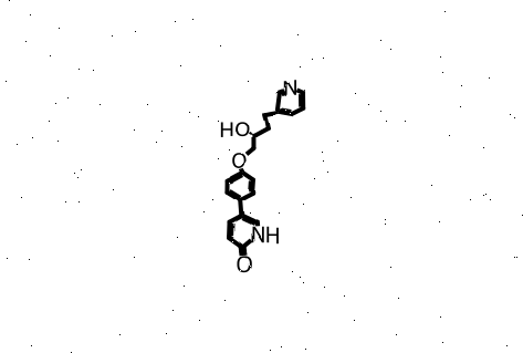 O=c1ccc(-c2ccc(OC[C@H](O)CCc3cccnc3)cc2)c[nH]1